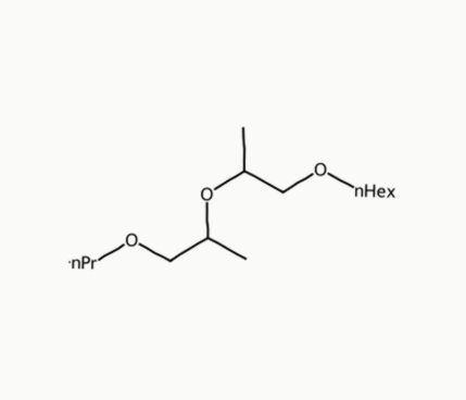 C[CH][CH]OCC(C)OC(C)COCCCCCC